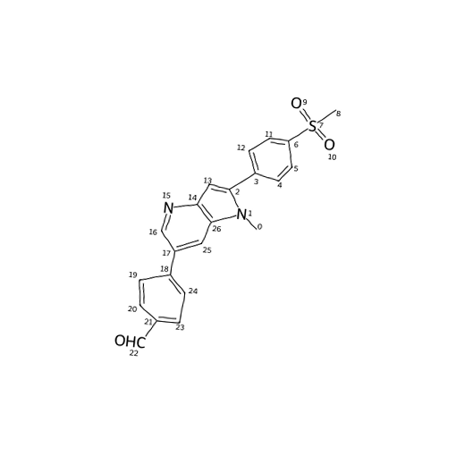 Cn1c(-c2ccc(S(C)(=O)=O)cc2)cc2ncc(-c3ccc(C=O)cc3)cc21